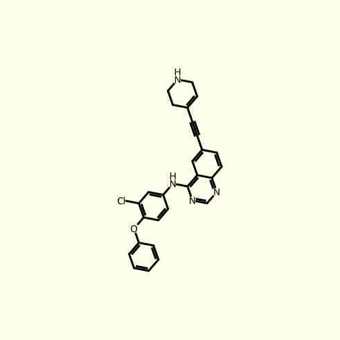 Clc1cc(Nc2ncnc3ccc(C#CC4=CCNCC4)cc23)ccc1Oc1ccccc1